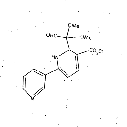 CCOC(=O)C1=CC=C(c2cccnc2)NC1C(C=O)(OC)OC